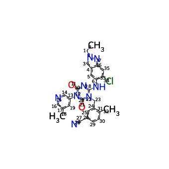 CCn1cc2cc(Nc3nc(=O)n(-c4cncc(C)c4)c(=O)n3Cc3cc(C#N)ccc3C)c(Cl)cc2n1